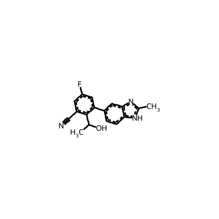 Cc1nc2cc(-c3cc(F)cc(C#N)c3C(C)O)ccc2[nH]1